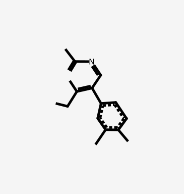 C=C(C)/N=C\C(=C(/C)CC)c1ccc(C)c(C)c1